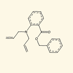 C=CCN(CC=C)c1ccccc1C(=O)OCc1ccccc1